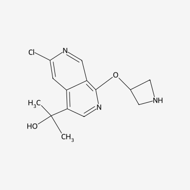 CC(C)(O)c1cnc(OC2CNC2)c2cnc(Cl)cc12